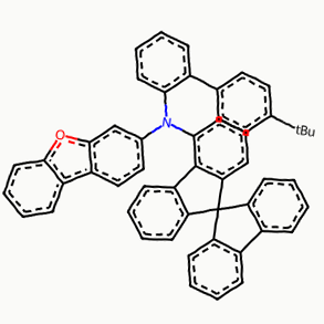 CC(C)(C)c1ccc(-c2ccccc2N(c2ccc3c(c2)oc2ccccc23)c2cccc3c2-c2ccccc2C32c3ccccc3-c3ccccc32)cc1